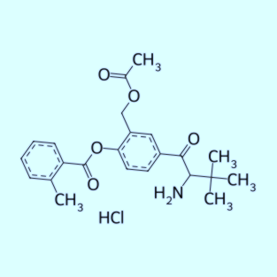 CC(=O)OCc1cc(C(=O)C(N)C(C)(C)C)ccc1OC(=O)c1ccccc1C.Cl